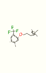 Cc1[c]cc(C(F)(F)F)c(OCCC[Si](C)(C)C)c1